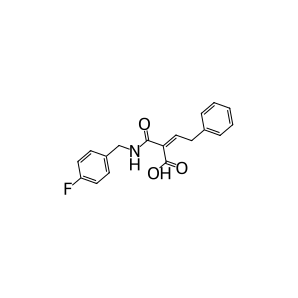 O=C(O)C(=CCc1ccccc1)C(=O)NCc1ccc(F)cc1